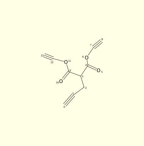 C#CCC(C(=O)OC#C)C(=O)OC#C